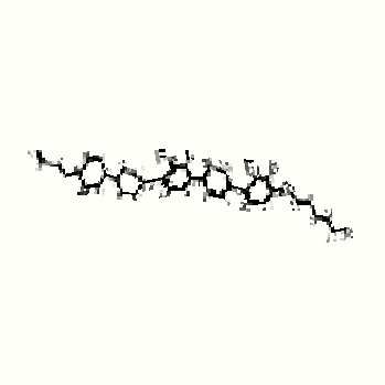 C=CCCC1CCC(C2CCC(c3ccc(-c4ccc(-c5ccc(OCCCCCC)c(F)c5F)cc4)c(F)c3F)CC2)CC1